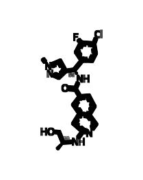 C[C@@H](CO)Nc1cc2cc(C(=O)N[C@@H](c3ccc(Cl)c(F)c3)c3cnn(C)c3)ccc2cn1